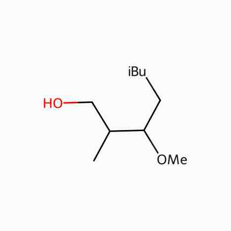 CCC(C)CC(OC)C(C)CO